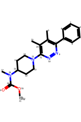 Cc1c(-c2ccccc2)nnc(N2CCC(N(C)C(=O)OC(C)(C)C)CC2)c1C